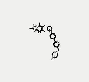 Cc1nc2nc(C)c(C[C@@H]3CCN(c4ccc(-c5ccc(CN6CCN(C)CC6)cn5)cc4)C3)c(C)n2n1